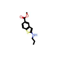 CCCNc1cc2cc(C(=O)OC)ccc2s1